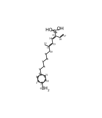 Bc1ccc(CCCCCC/C(C)=C/C=C(\C=C)B(O)O)cc1